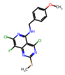 COc1ccc(CNc2nc(Cl)c(F)c3nc(SC)nc(Cl)c23)cc1